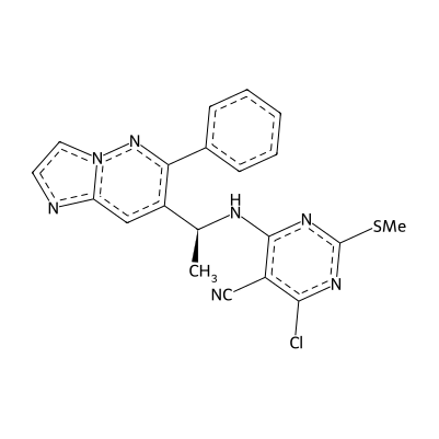 CSc1nc(Cl)c(C#N)c(N[C@@H](C)c2cc3nccn3nc2-c2ccccc2)n1